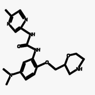 Cc1cnc(NC(=O)Nc2cc(N(C)C)ccc2OCC2CNCCO2)cn1